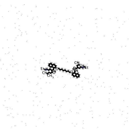 [C-]#[N+]C(C)CCC1ON=C(c2c(OCCCCCCCCOc3ccc4ccccc4c3-c3noc(C(CC/C=C/CC)CC(C)C#N)n3)ccc3ccccc23)C1CC/C=C/CC